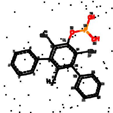 Cc1c(-c2ccccc2)c(C(C)(C)C)c(OP(O)O)c(C(C)(C)C)c1-c1ccccc1